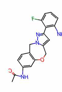 CC(=O)Nc1ccc2c(c1)OCc1cc(-c3c(N)cccc3F)nn1C2